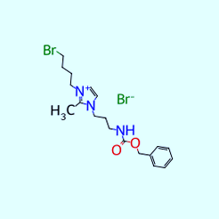 Cc1n(CCCNC(=O)OCc2ccccc2)cc[n+]1CCCCBr.[Br-]